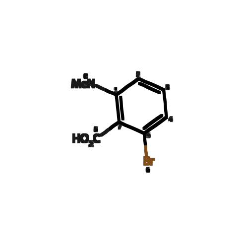 CNc1cccc(Br)c1C(=O)O